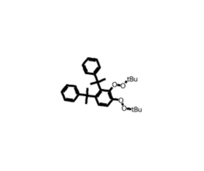 CC(C)(C)OOc1ccc(C(C)(C)c2ccccc2)c(C(C)(C)c2ccccc2)c1OOC(C)(C)C